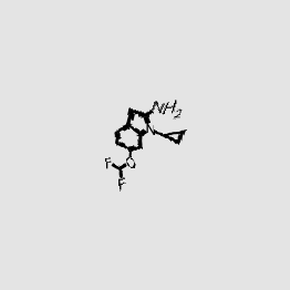 Nc1cc2ccc(OC(F)F)cc2n1C1CC1